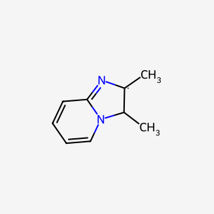 C[C]1N=C2C=CC=CN2C1C